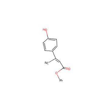 CC(C)OC(=O)C=C(C#N)c1ccc(O)cc1